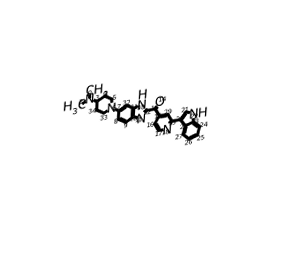 CN(C)C1CCN(c2ccc3nc(C(=O)c4ccnc(-c5c[nH]c6ccccc56)c4)[nH]c3c2)CC1